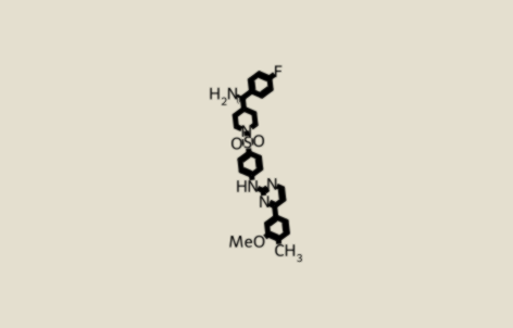 COc1cc(-c2ccnc(Nc3ccc(S(=O)(=O)N4CCC([C@@H](N)c5ccc(F)cc5)CC4)cc3)n2)ccc1C